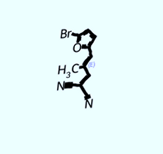 C/C(C=C(C#N)C#N)=C\c1ccc(Br)o1